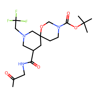 CC(=O)CNC(=O)C1CN(CC(F)(F)F)CC2(CCN(C(=O)OC(C)(C)C)CO2)C1